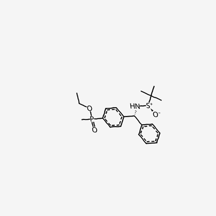 CCOP(C)(=O)c1ccc([C@H](N[S@+]([O-])C(C)(C)C)c2ccccc2)cc1